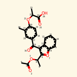 CC(=O)OC(C)c1oc2ccccc2c1C(=O)c1ccc(OC(C)C(=O)O)c(C)c1